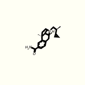 C[C@H](CN1CC[C@]2(C)c3cc(C(N)=O)ccc3C[C@@H]1[C@@H]2C)C1CC1